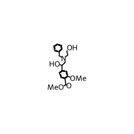 COC(=O)c1ccc(C(O)CN(CCO)Cc2ccccc2)cc1OC